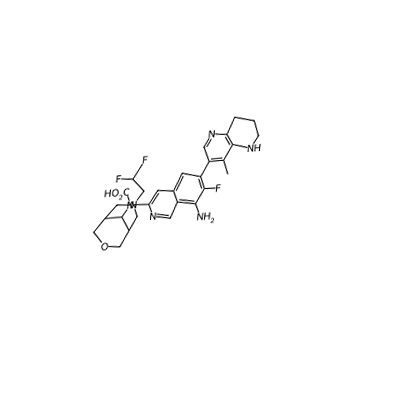 Cc1c(-c2cc3cc(N(C(=O)O)C4C5COCC4CN(CC(F)F)C5)ncc3c(N)c2F)cnc2c1NCCC2